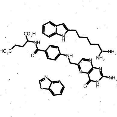 NC(N)CCCCCc1cc2ccccc2[nH]1.Nc1nc2ncc(CNc3ccc(C(=O)NC(CCC(=O)O)C(=O)O)cc3)nc2c(=O)[nH]1.c1ccc2scnc2c1